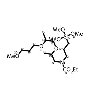 CCOC(=O)N(CCC[Si](OC)(OC)OC)CC(C)OCC(C)OCCCOC